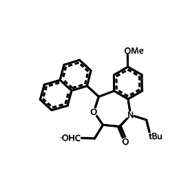 COc1ccc2c(c1)C(c1cccc3ccccc13)OC(C[C]=O)C(=O)N2CC(C)(C)C